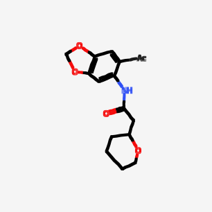 CC(=O)c1cc2c(cc1NC(=O)CC1CCCCO1)OCO2